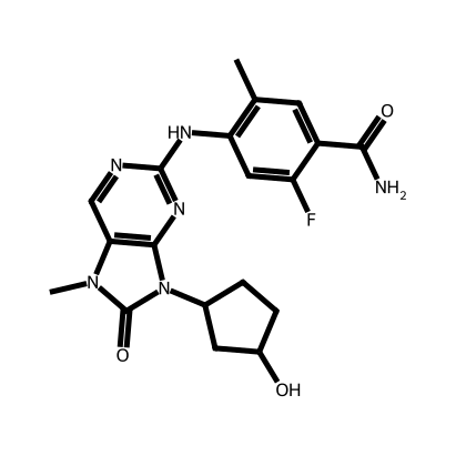 Cc1cc(C(N)=O)c(F)cc1Nc1ncc2c(n1)n(C1CCC(O)C1)c(=O)n2C